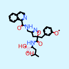 COc1cccc(CC2(C(=O)NC(CC(C)C)B(O)O)CC(CNC(=O)c3nccc4ccccc34)=NO2)c1